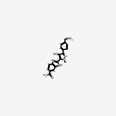 Cn1nc(-c2ccc(CN)cc2)c(O)c1-c1nc2ccc(C(N)=O)cc2[nH]1